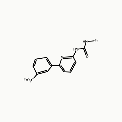 CCNC(=O)Nc1cccc(-c2cccc(C(=O)OCC)c2)n1